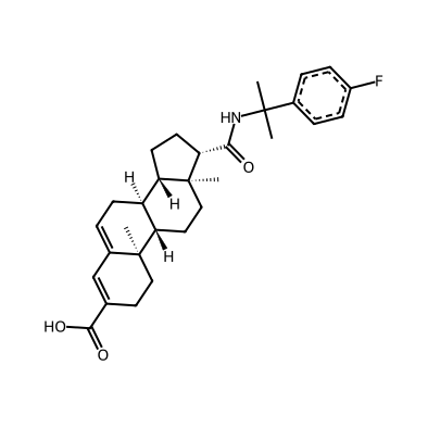 CC(C)(NC(=O)[C@H]1CC[C@H]2[C@@H]3CC=C4C=C(C(=O)O)CC[C@]4(C)[C@H]3CC[C@]12C)c1ccc(F)cc1